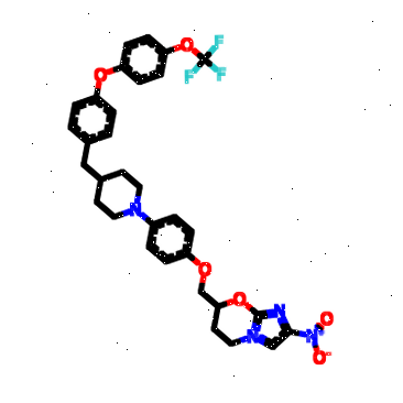 O=[N+]([O-])c1cn2c(n1)OC(COc1ccc(N3CCC(Cc4ccc(Oc5ccc(OC(F)(F)F)cc5)cc4)CC3)cc1)CC2